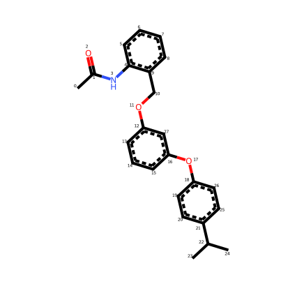 CC(=O)Nc1ccccc1COc1cccc(Oc2ccc(C(C)C)cc2)c1